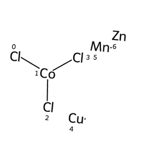 [Cl][Co]([Cl])[Cl].[Cu].[Mn].[Zn]